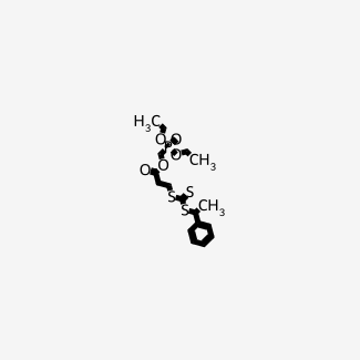 CCOP(=O)(COC(=O)CCSC(=S)SC(C)c1ccccc1)OCC